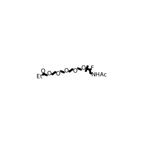 CCC(=O)COCCOCCOCCOCCOC(C)(C)C(F)CNC(C)=O